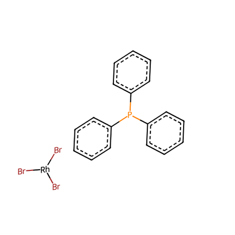 [Br][Rh]([Br])[Br].c1ccc(P(c2ccccc2)c2ccccc2)cc1